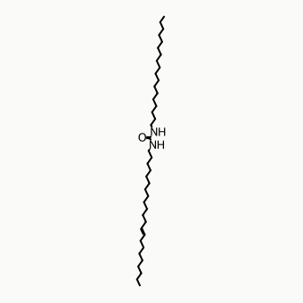 CCCCCCCCC=CCCCCCCCCCCCCNC(=O)NCCCCCCCCCCCCCCCCCC